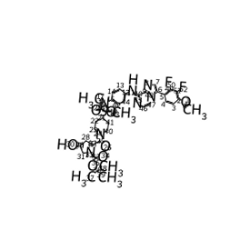 COc1ccc(-c2cnc3c(Nc4ccc(N(C)S(=O)(=O)C5CCN(C(=O)[C@@H]6C[C@@H](O)CN6C(=O)OC(C)(C)C)CC5)c(C)c4)nccn23)c(F)c1F